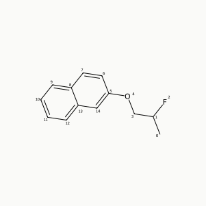 CC(F)COc1ccc2ccccc2c1